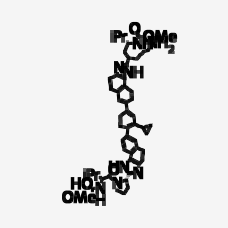 COC(=O)N[C@H](CC(CCCN)c1nc2ccc3cc(-c4ccc(-c5ccc6c(ccc7nc([C@@H]8CCCN8C(=O)[C@@H](NC(O)OC)C(C)C)[nH]c76)c5)c(C5CC5)c4)ccc3c2[nH]1)C(C)C